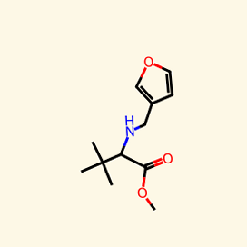 COC(=O)C(NCc1ccoc1)C(C)(C)C